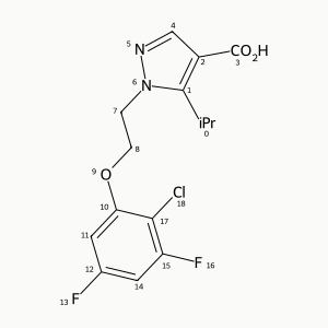 CC(C)c1c(C(=O)O)cnn1CCOc1cc(F)cc(F)c1Cl